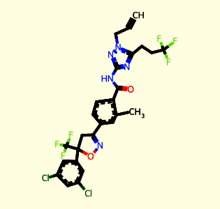 C#CCn1nc(NC(=O)c2ccc(C3=NOC(c4cc(Cl)cc(Cl)c4)(C(F)(F)F)C3)cc2C)nc1CCC(F)(F)F